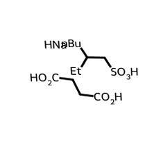 CCCCC(CC)CS(=O)(=O)O.O=C(O)CCC(=O)O.[NaH]